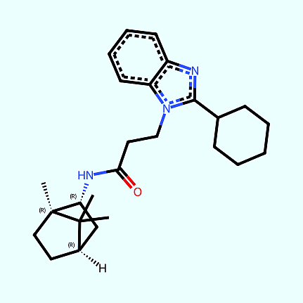 CC1(C)[C@@H]2CC[C@@]1(C)[C@H](NC(=O)CCn1c(C3CCCCC3)nc3ccccc31)C2